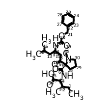 CC[C@H](C)[C@H](NC(=O)[C@]1(C(=O)CC(CC(C)C)NC(=O)OCc2ccccc2)CCCN1C)C(=O)O